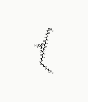 CCCCCC/C=C\CCCCCC(=O)OC(CCCCCCCCCCC)CC(C)=O